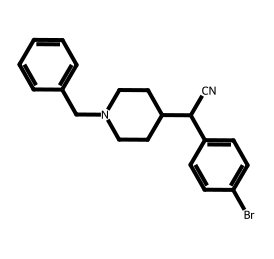 N#CC(c1ccc(Br)cc1)C1CCN(Cc2ccccc2)CC1